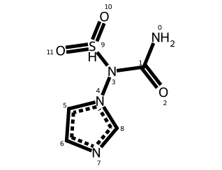 NC(=O)N(n1ccnc1)[SH](=O)=O